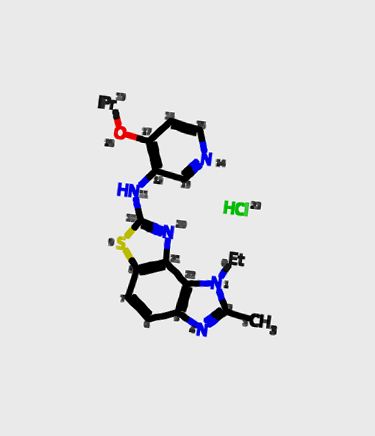 CCn1c(C)nc2ccc3sc(Nc4cnccc4OC(C)C)nc3c21.Cl